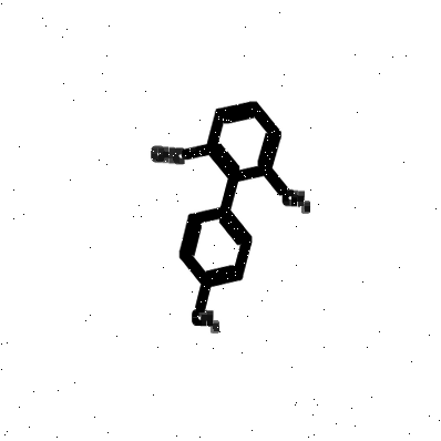 Cc1ccc(-c2c(C)cccc2C=O)cc1